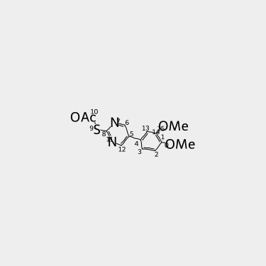 COc1ccc(-c2cnc(SOC(C)=O)nc2)cc1OC